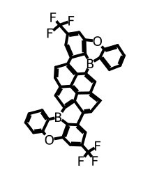 FC(F)(F)c1cc2c3c(c1)-c1ccc4cc5c6c(ccc7cc(c1c4c76)B3c1ccccc1O2)-c1cc(C(F)(F)F)cc2c1B5c1ccccc1O2